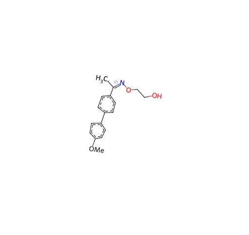 COc1ccc(-c2ccc(/C(C)=N\OCCO)cc2)cc1